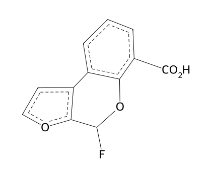 O=C(O)c1cccc2c1OC(F)c1occc1-2